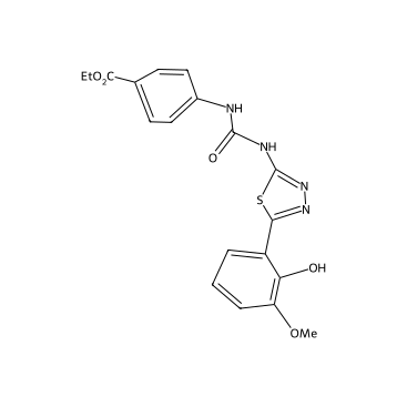 CCOC(=O)c1ccc(NC(=O)Nc2nnc(-c3cccc(OC)c3O)s2)cc1